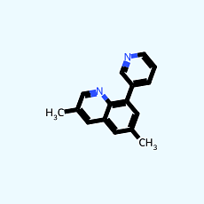 Cc1cnc2c(-c3cccnc3)cc(C)cc2c1